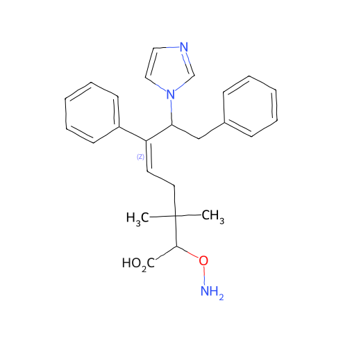 CC(C)(C/C=C(/c1ccccc1)C(Cc1ccccc1)n1ccnc1)C(ON)C(=O)O